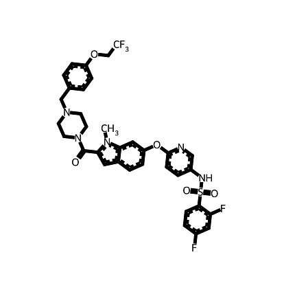 Cn1c(C(=O)N2CCN(Cc3ccc(OCC(F)(F)F)cc3)CC2)cc2ccc(Oc3ccc(NS(=O)(=O)c4ccc(F)cc4F)cn3)cc21